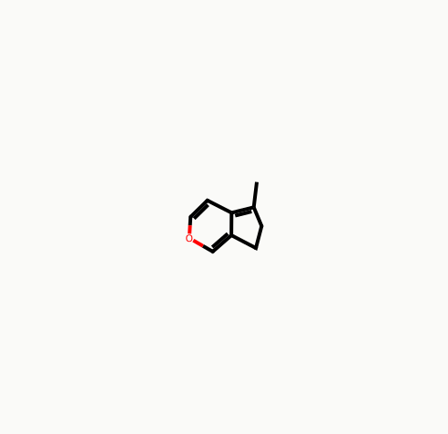 CC1=C2C=COC=C2CC1